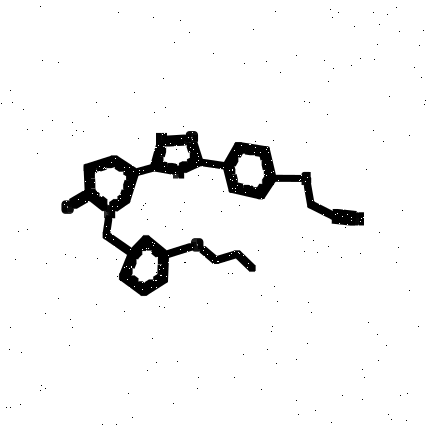 CCCOc1cccc(Cn2cc(-c3noc(-c4ccc(SCC#N)cc4)n3)ccc2=O)c1